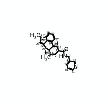 CN1CC(C(=O)NCc2cccnc2)C[C@@H]2c3cccc4c3c(cn4C)C[C@H]21